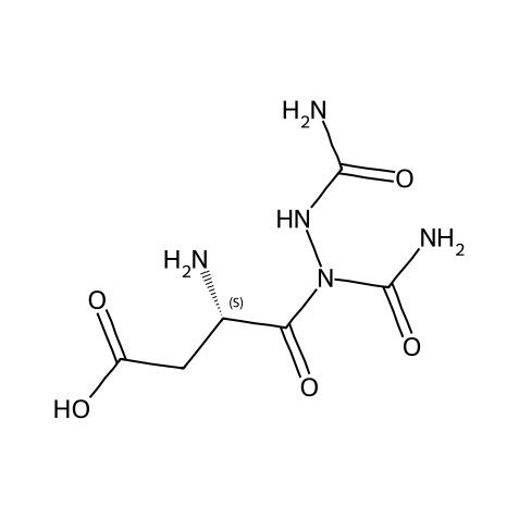 NC(=O)NN(C(N)=O)C(=O)[C@@H](N)CC(=O)O